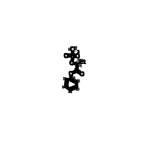 CC[C@@H](OS(=O)(=O)C(F)(F)F)C(=O)Oc1ccccc1